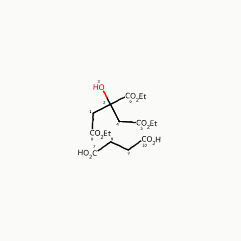 CCOC(=O)CC(O)(CC(=O)OCC)C(=O)OCC.O=C(O)CCC(=O)O